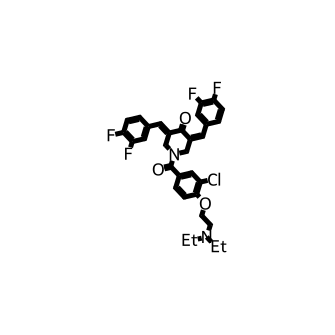 CCN(CC)CCOc1ccc(C(=O)N2C/C(=C/c3ccc(F)c(F)c3)C(=O)/C(=C/c3ccc(F)c(F)c3)C2)cc1Cl